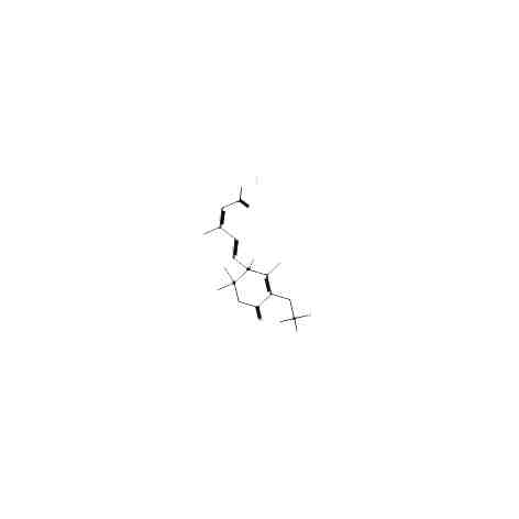 CC1=C(CC(F)(F)F)C(=O)CC(C)(C)C1(O)/C=C/C(C)=C\C(=O)O